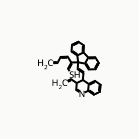 C=C/C=C\C(=C\S)C1(/C=C/C2c3ccccc3N=CC2C=C)c2ccccc2-c2ccccc21